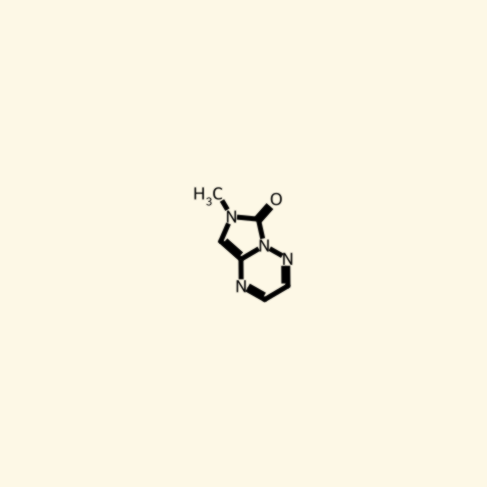 Cn1cc2nccnn2c1=O